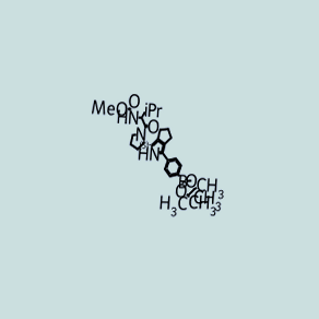 COC(=O)NC(C(=O)N1CCC[C@H]1c1[nH]c(-c2ccc(B3OC(C)(C)C(C)(C)O3)cc2)c2c1CCC2)C(C)C